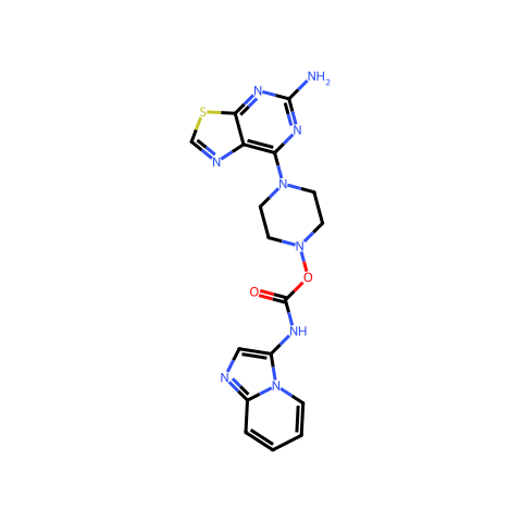 Nc1nc(N2CCN(OC(=O)Nc3cnc4ccccn34)CC2)c2ncsc2n1